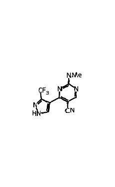 CNc1ncc(C#N)c(-c2c[nH]nc2C(F)(F)F)n1